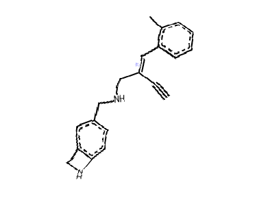 C#C/C(=C\c1ccccc1C)CNCc1ccc2c(c1)CN2